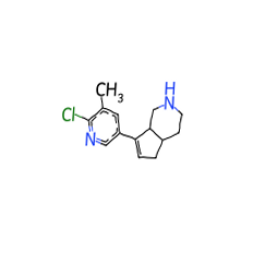 Cc1cc(C2=CCC3CCNCC23)cnc1Cl